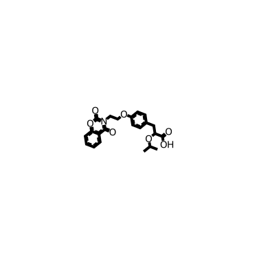 CC(C)OC(Cc1ccc(OCCn2c(=O)oc3ccccc3c2=O)cc1)C(=O)O